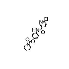 O=C(Nc1ccc(OC(=O)N2CCCCC2)cc1)c1ccc(Cl)nc1